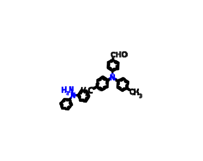 Cc1ccc(N(c2ccc(C)cc2)c2ccc(C=O)cc2)cc1.NN(c1ccccc1)c1ccccc1